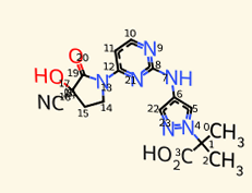 CC(C)(C(=O)O)n1cc(Nc2nccc(N3CC[C@](O)(C#N)C3=O)n2)cn1